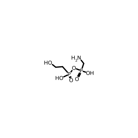 NCP(=O)(O)OP(=O)(O)CCO